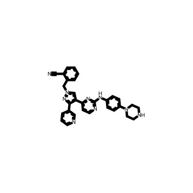 N#Cc1ccccc1Cn1cc(-c2ccnc(Nc3ccc(N4CCNCC4)cc3)n2)c(-c2cccnc2)n1